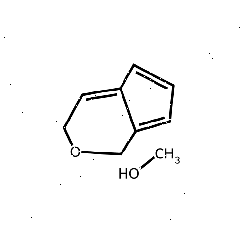 C1=CC2=CCOCC2=C1.CO